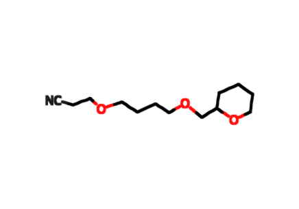 N#CCCOCCCCOCC1CCCCO1